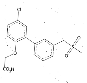 CS(=O)(=O)Cc1cccc(-c2cc(Cl)ccc2OCC(=O)O)c1